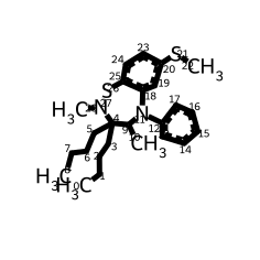 CCCCC1(CCCC)C(C)N(c2ccccc2)c2cc(SC)ccc2SN1C